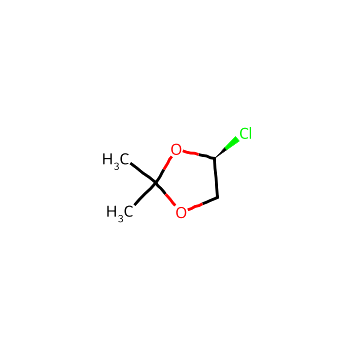 CC1(C)OC[C@H](Cl)O1